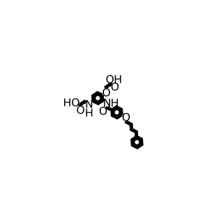 O=C(O)CNc1ccc(OCC(=O)O)c(NC(=O)c2ccc(OCCCCc3ccccc3)cc2)c1